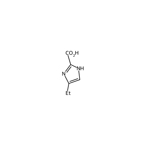 CCc1c[nH]c(C(=O)O)n1